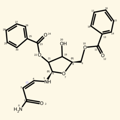 NC(=O)/C=C\N[C@@H]1O[C@H](COC(=O)c2ccccc2)C(O)C1OC(=O)c1ccccc1